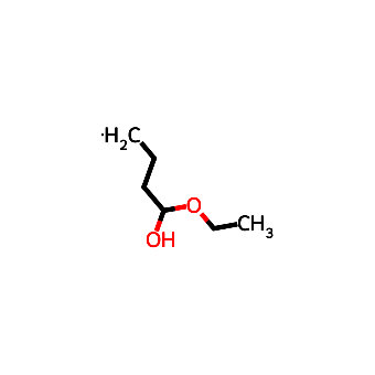 [CH2]CCC(O)OCC